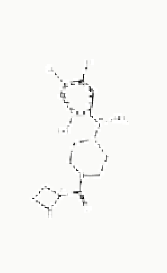 N[C@@H](c1cc(Cl)c(Cl)cc1O)C1CCN(C(=O)[C@@H]2CCN2)CC1